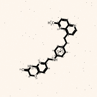 Cc1ccc2nccc(CCC34CCC(NCc5ccc6c(n5)NC(=O)CO6)(CC3)CO4)c2n1